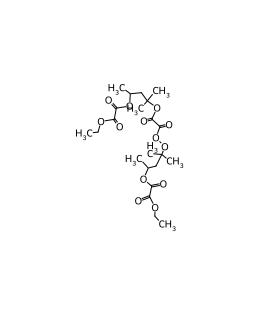 CCOC(=O)C(=O)OC(C)CC(C)(C)OOC(=O)C(=O)OC(C)(C)CC(C)OC(=O)C(=O)OCC